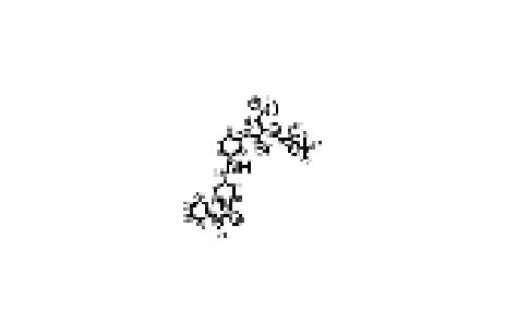 COC(=O)c1sc(-c2cccc(NCC3CCN(C(=O)N(C)c4ccccc4)CC3)c2)c(Br)c1OCC(=O)OC(C)(C)C